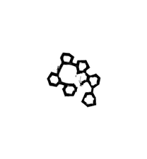 O=c1c2ccccc2c2ccccc2n2c(=O)c3c(-c4ccccc4)cccc3c3cccc(c4ccccc14)c32